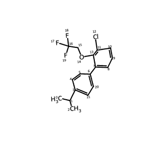 CC(C)c1ccc(-c2c[c]cc(Cl)c2OCC(F)(F)F)cc1